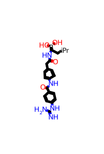 CC(C)CC(NC(=O)Cc1ccc(NC(=O)c2ccc(NC(=N)N)cc2)cc1)B(O)O